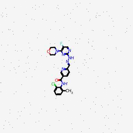 Cc1cccc(Cl)c1NC(=O)c1ccc(/C=N/Nc2ncc(F)c(N3CCOCC3)n2)nc1